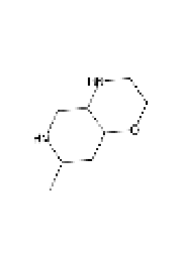 CC1CC2OCCNC2CN1